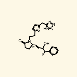 O=C1CC[C@H](C=CC(O)C(F)c2ccccc2)N1CCc1ccc(Cc2nnn[nH]2)s1